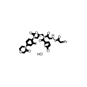 CC(C)CC(=O)SNCC(=O)N(C[C@H]1CN(c2ccc(N3CCOCC3=O)cc2F)C(=O)O1)C(=O)c1ccc(Cl)s1.Cl